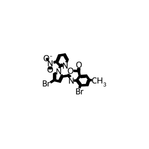 Cc1cc(Br)c2nc(-c3cc(Br)cn3-c3ncccc3[N+](=O)[O-])oc(=O)c2c1